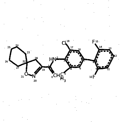 C=C(Nc1c(C)cc(-c2c(F)cccc2F)cc1Cl)C1=NOC2(CCCCC2)C1